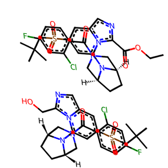 CC(C)(C)CS(=O)(=O)c1cc(N2[C@@H]3CC[C@H]2CN(C(=O)c2ccc(F)cc2Cl)C3)n2c(CO)ncc2c1.CCOC(=O)c1ncc2cc(S(=O)(=O)CC(C)(C)C)cc(N3[C@@H]4CC[C@H]3CN(C(=O)c3ccc(F)cc3Cl)C4)n12